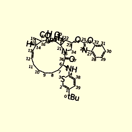 CC(C)(C)C1=CSC(N[C@H]2CCCCC/C=C\[C@@H]3C[C@@]3(C(=O)O)NC(=O)[C@@H]3C[C@@H](Oc4nc5ccccc5o4)CN3C2=O)=C=C1